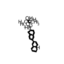 CC(C)(O)C(C)(C)OBc1ccc2cc(C3=CC4=CC=CC[C@@H]4C=C3)ccc2c1